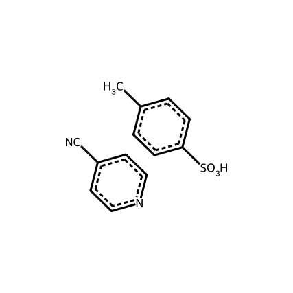 Cc1ccc(S(=O)(=O)O)cc1.N#Cc1ccncc1